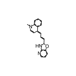 CN1C=C/C(=C\C=CC2Nc3ncccc3O2)c2ccccc21